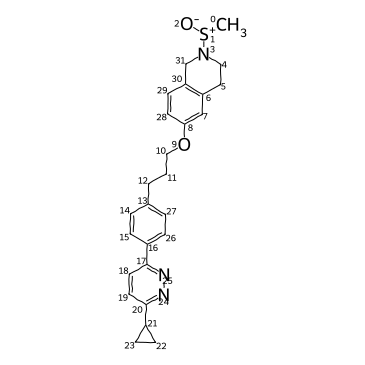 C[S+]([O-])N1CCc2cc(OCCCc3ccc(-c4ccc(C5CC5)nn4)cc3)ccc2C1